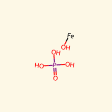 O=P(O)(O)O.[OH][Fe]